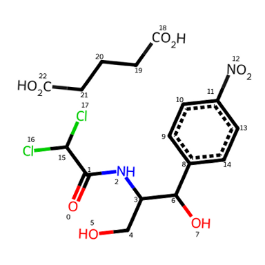 O=C(NC(CO)C(O)c1ccc([N+](=O)[O-])cc1)C(Cl)Cl.O=C(O)CCCC(=O)O